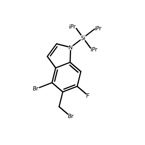 CC(C)[Si](C(C)C)(C(C)C)n1ccc2c(Br)c(CBr)c(F)cc21